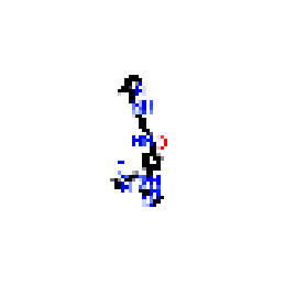 Cc1cccnc1CNCCCCNC(=O)c1ccc(CN(Cc2ncc[nH]2)Cc2ncc[nH]2)cc1